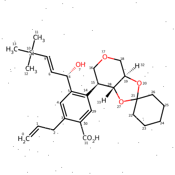 C=CCc1cc([C@@H](O)/C=C/[Si](C)(C)C)c([C@H]2COC[C@H]3OC4(CCCCC4)O[C@H]23)cc1C(=O)O